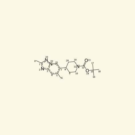 Cc1nc2cc(C)c(C3CCN(C(=O)OC(C)(C)C)CC3)cn2n1